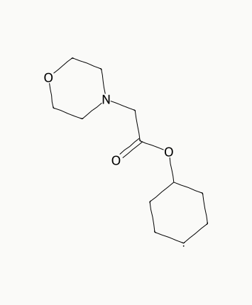 O=C(CN1CCOCC1)OC1CC[CH]CC1